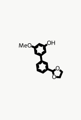 COc1cc(O)cc(-c2cccc(C3OCCO3)c2)c1